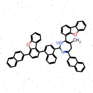 CC1=C(c2cccc3c2oc2ccccc23)NC(c2ccc(-c3ccc(-c4ccc5ccccc5c4)c4oc5ccccc5c34)c3ccccc23)N=C(c2ccc3ccccc3c2)C1